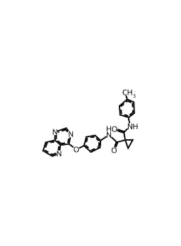 Cc1ccc(NC(=O)C2(C(=O)Nc3ccc(Oc4ncnc5cccnc45)cc3)CC2)cc1